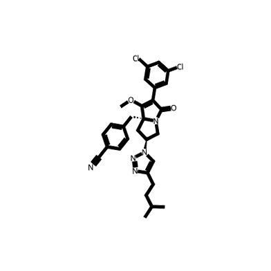 COC1=C(c2cc(Cl)cc(Cl)c2)C(=O)N2C[C@@H](n3cc(CCC(C)C)nn3)C[C@@]12Cc1ccc(C#N)cc1